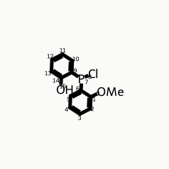 COc1ccccc1P(Cl)c1ccccc1O